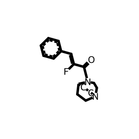 O=C(/C(F)=C/c1ccccc1)N1CCN2CCC1CC2